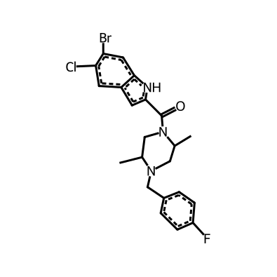 CC1CN(C(=O)c2cc3cc(Cl)c(Br)cc3[nH]2)C(C)CN1Cc1ccc(F)cc1